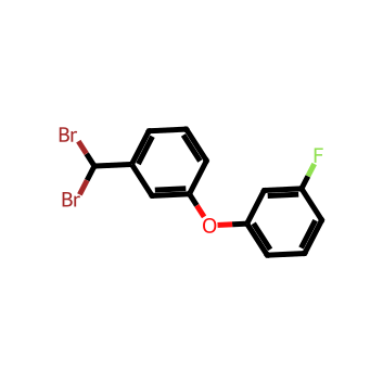 Fc1cccc(Oc2cccc(C(Br)Br)c2)c1